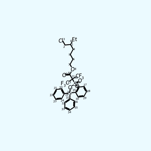 CCC(CCl)CCCCOC(=O)C(C(F)(F)F)(C(F)(F)F)S(=O)(=O)OS(c1ccccc1)(c1ccccc1)c1ccccc1